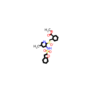 COC(=O)c1ccccc1C[S+]([O-])c1ncc(C)cc1NS(=O)(=O)c1cc2ccccc2o1